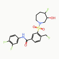 O=C(Nc1ccc(F)c(F)c1)c1ccc(CF)c(S(=O)(=O)N2CCCC(F)C(O)C2)c1